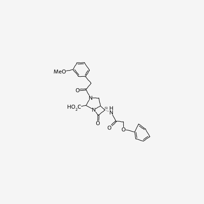 COc1cccc(CC(=O)N2CC3[C@H](NC(=O)COc4ccccc4)C(=O)N3C2C(=O)O)c1